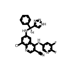 [2H][C@](Nc1cc(Cl)c2ncc(C#N)c(Nc3cnc(F)c(F)c3)c2c1)(c1ccccc1)c1c[nH]nn1